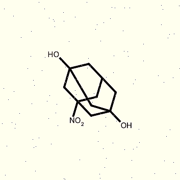 O=[N+]([O-])C12CC3CC(O)(CC(O)(C3)C1)C2